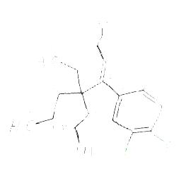 CC/C=C(/c1ccc(Cl)c(Cl)c1)C(CC)(CCC)CCC